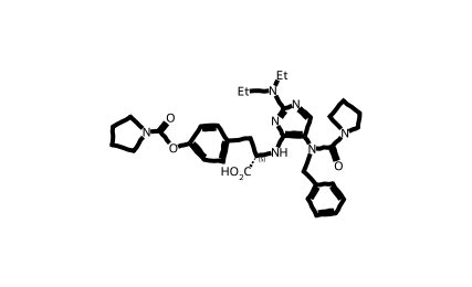 CCN(CC)c1ncc(N(Cc2ccccc2)C(=O)N2CCCC2)c(N[C@@H](Cc2ccc(OC(=O)N3CCCC3)cc2)C(=O)O)n1